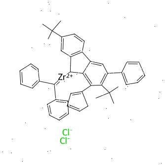 CC(C)(C)c1ccc2c(c1)[CH]([Zr+2]=[C](c1ccccc1)c1ccccc1)c1c-2cc(-c2ccccc2)c(C(C)(C)C)c1C1=CC=CC1.[Cl-].[Cl-]